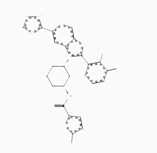 COc1cccc(-c2nc3cnc(-c4nc[nH]n4)cc3n2[C@@H]2CCC[C@H](NC(=O)c3ccc(Cl)s3)C2)c1F